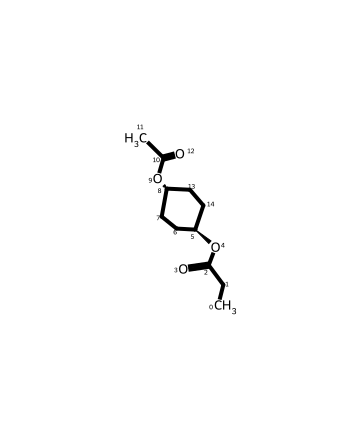 CCC(=O)O[C@H]1CC[C@H](OC(C)=O)CC1